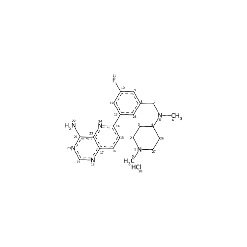 CN1CCC(N(C)Cc2cc(F)cc(-c3ccc4ncnc(N)c4n3)c2)CC1.Cl